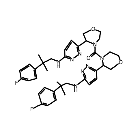 CC(C)(CNc1ccc(C2COCCN2C(=O)N2CCOCC2c2ccc(NCC(C)(C)c3ccc(F)cc3)nn2)nn1)c1ccc(F)cc1